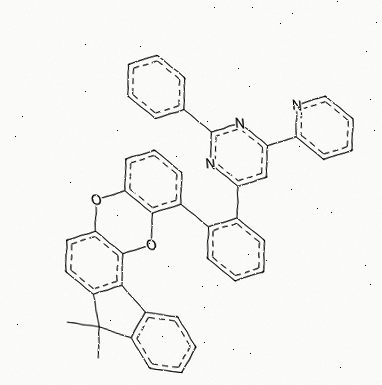 CC1(C)c2ccccc2-c2c1ccc1c2Oc2c(cccc2-c2ccccc2-c2cc(-c3ccccn3)nc(-c3ccccc3)n2)O1